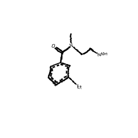 CCc1cccc(C(=O)N(C)CCNC)c1